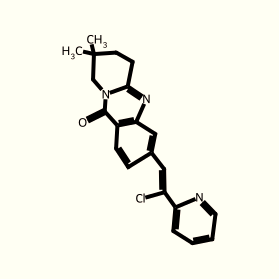 CC1(C)CCc2nc3cc(/C=C(\Cl)c4ccccn4)ccc3c(=O)n2C1